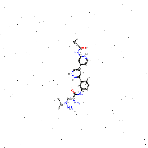 Cc1ccc(NC(=O)/C(N)=C/N(N)C(C)C)cc1-c1cc(-c2ccnc(NC(=O)C3CC3)c2)cnn1